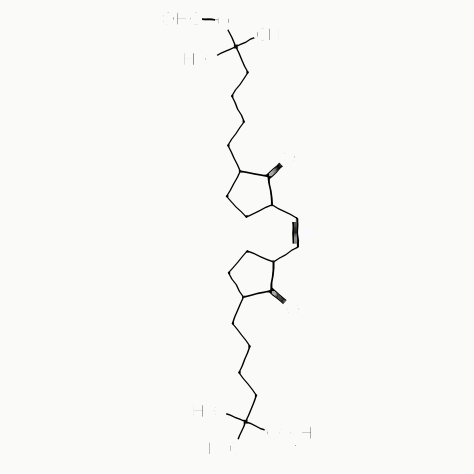 CC(C)(CCCCC1CCC(/C=C\C2CCC(CCCCC(C)(C)C(=O)O)C2=O)C1=O)OC=O